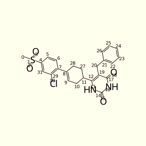 CS(=O)(=O)c1ccc(C2=CCC(c3[nH]c(=O)[nH]c(=O)c3Cc3ccccc3)CC2)c(Cl)c1